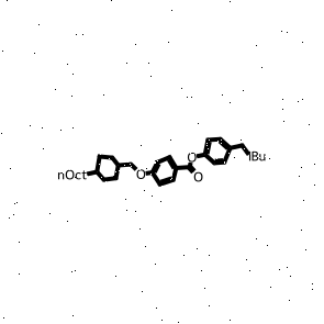 CCCCCCCCC1CCC(COc2ccc(C(=O)Oc3ccc(CC(C)CC)cc3)cc2)CC1